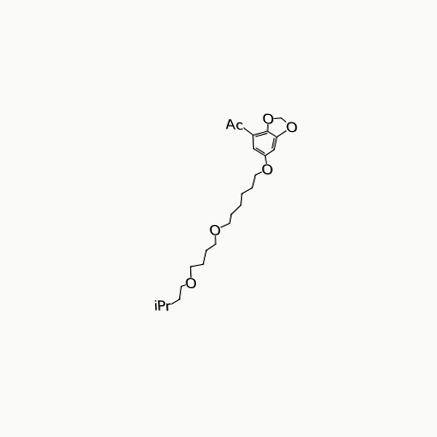 CC(=O)c1cc(OCCCCCCOCCCCOCCC(C)C)cc2c1OCO2